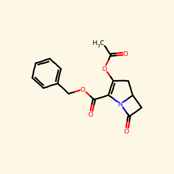 CC(=O)OC1=C(C(=O)OCc2ccccc2)N2C(=O)CC2C1